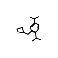 CC(C)c1ccc(C(C)C)c(CC2CCO2)c1